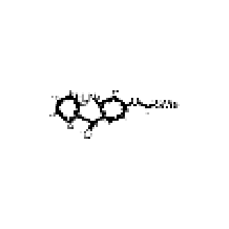 CSCOc1ccc(C(=O)c2ccccc2)c(N)c1